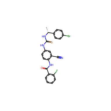 C[C@@H](NC(=S)Nc1ccc(NC(=O)c2ccccc2F)c(C#N)c1)c1ccc(Br)cc1